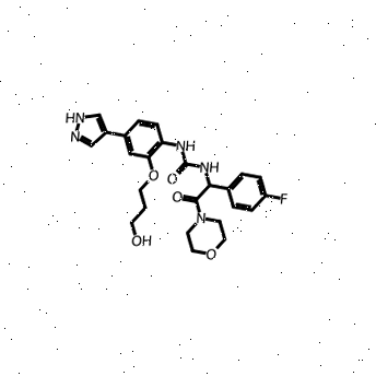 O=C(Nc1ccc(-c2cn[nH]c2)cc1OCCCO)NC(C(=O)N1CCOCC1)c1ccc(F)cc1